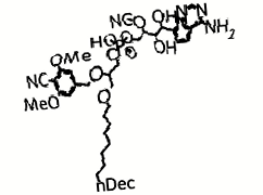 CCCCCCCCCCCCCCCCCCOC[C@H](COP(=O)(O)OC[C@@H](OC#N)[C@@H](O)[C@@H](O)c1ccc2c(N)ncnn12)OCc1cc(OC)c(C#N)c(OC)c1